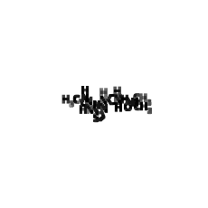 CC1CC(Nc2nc(N[C@@H]3C[C@H]4CC(CC(=O)N(C)C)C[C@@H](C3)N4)nc3ccsc23)=NN1